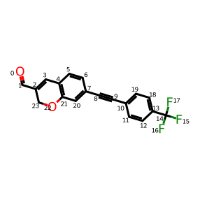 O=CC1=Cc2ccc(C#Cc3ccc(C(F)(F)F)cc3)cc2OC1